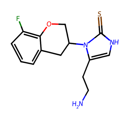 NCCc1c[nH]c(=S)n1C1COc2c(F)cccc2C1